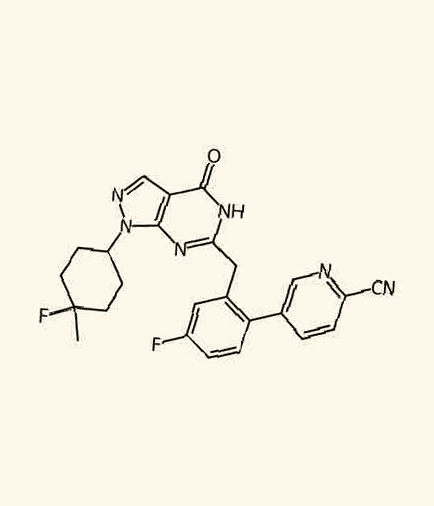 CC1(F)CCC(n2ncc3c(=O)[nH]c(Cc4cc(F)ccc4-c4ccc(C#N)nc4)nc32)CC1